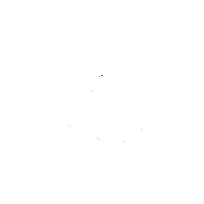 CC[C@@H](NC(=O)c1cc(C(=O)N2CCN(c3ccccn3)CC2C)n2c1COCC2)c1ccccc1